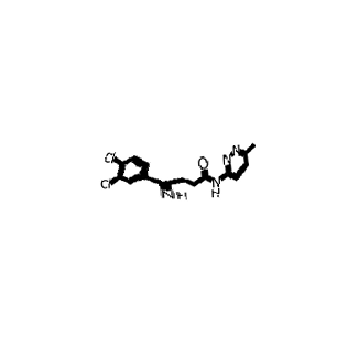 Cc1ccc(NC(=O)CCC(=N)c2ccc(Cl)c(Cl)c2)nn1